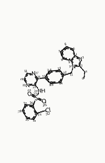 CCc1nc2ccccc2n1Cc1ccc(-c2nccnc2NS(=O)(=O)c2ccccc2Cl)cc1